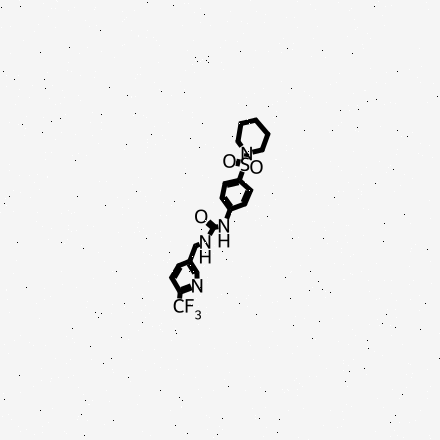 O=C(NCc1ccc(C(F)(F)F)nc1)Nc1ccc(S(=O)(=O)N2CCCCC2)cc1